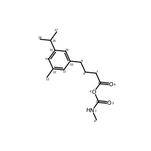 CNC(=O)OC(=O)CCCc1cc(C)cc(C(C)C)c1